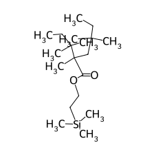 CCC(C)(C)CC(C)(C(=O)OCC[Si](C)(C)C)C(C)(C)CC